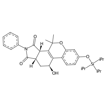 CC(C)[Si](Oc1ccc2c(c1)OC(C)(C)C1=C2[C@@H](O)C[C@@H]2C(=O)N(c3ccccc3)C(=O)[C@H]12)(C(C)C)C(C)C